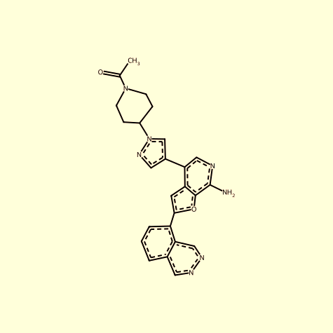 CC(=O)N1CCC(n2cc(-c3cnc(N)c4oc(-c5cccc6cnncc56)cc34)cn2)CC1